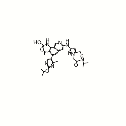 Cc1nc(OC(C)C)ncc1-c1cc2cc(Nc3cc4n(n3)CC(=O)N(C(C)C)CC4)ncc2c(NC(=O)O)c1F